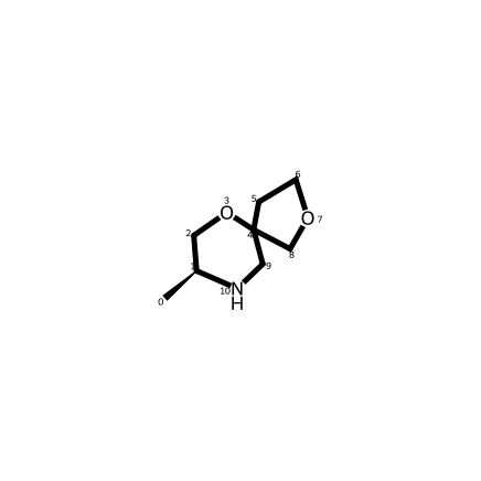 C[C@H]1COC2(CCOC2)CN1